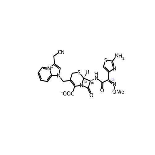 CO/N=C(\C(=O)N[C@@H]1C(=O)N2C(C(=O)[O-])=C(Cn3cc(CC#N)[n+]4ccccc34)CS[C@@H]12)c1csc(N)n1